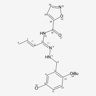 C/C=C/C(=N\NCc1cc(Cl)ccc1OCC(C)C)NC(=O)c1ccno1